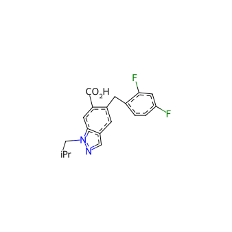 CC(C)Cn1ncc2cc(Cc3ccc(F)cc3F)c(C(=O)O)cc21